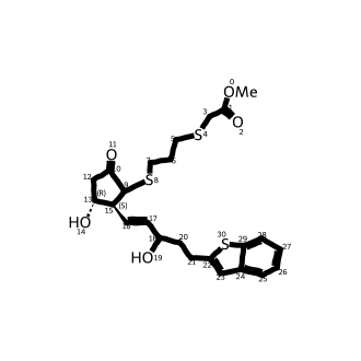 COC(=O)CSCCCSC1C(=O)C[C@@H](O)[C@@H]1C=CC(O)CCc1cc2ccccc2s1